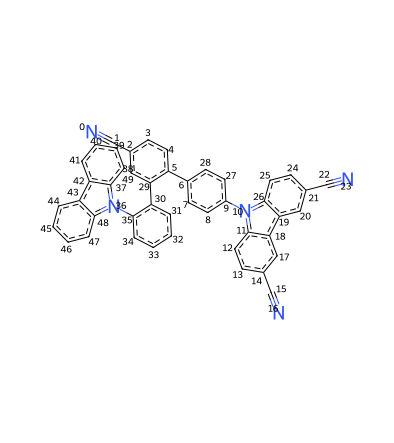 N#Cc1ccc(-c2ccc(-n3c4ccc(C#N)cc4c4cc(C#N)ccc43)cc2)c(-c2ccccc2-n2c3ccccc3c3ccccc32)c1